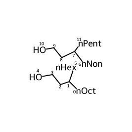 CCCCCCCCC(CCO)CCCCCC.CCCCCCCCCC(CCO)CCCCC